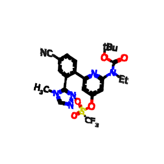 CCN(C(=O)OC(C)(C)C)c1cc(OS(=O)(=O)C(F)(F)F)cc(-c2ccc(C#N)cc2-c2nncn2C)n1